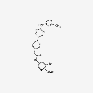 COc1ncc(NC(=O)Cc2ccc(-c3cnc(Nc4ccn(C)c4)nc3)cc2)cc1Br